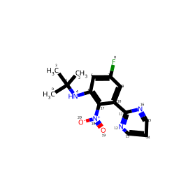 CC(C)(C)Nc1cc(F)cc(-c2ncccn2)c1[N+](=O)[O-]